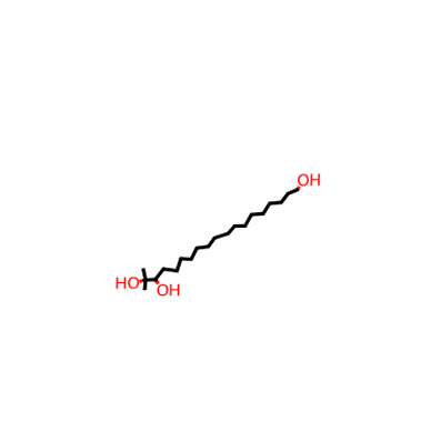 CC(C)(O)C(O)CCCCCCCCCCCCCCCCO